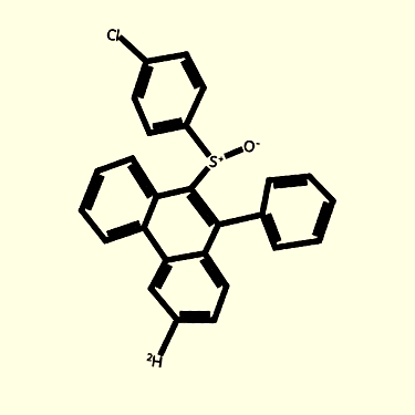 [2H]c1ccc2c(-c3ccccc3)c([S+]([O-])c3ccc(Cl)cc3)c3ccccc3c2c1